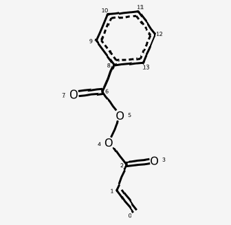 C=CC(=O)OOC(=O)c1ccccc1